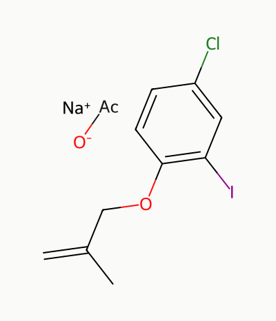 C=C(C)COc1ccc(Cl)cc1I.CC(=O)[O-].[Na+]